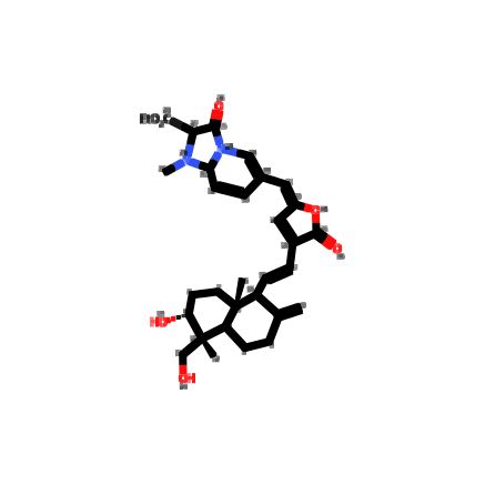 C=C1CCC2[C@](C)(CC[C@@H](O)[C@@]2(C)CO)C1/C=C/C1=CC(=C\C2=CN3C(=O)C(C(=O)OCC)N(C)C3C=C2)/OC1=O